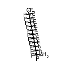 FC(F)(F)C(F)(F)C(F)(F)C(F)(F)C(F)(F)C(F)(F)C(F)(F)C(F)(F)C(F)(F)C(F)(F)C(F)(F)C(F)(F)P